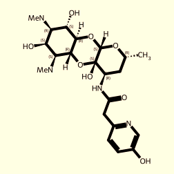 CN[C@@H]1[C@H](O)[C@H](NC)[C@H]2O[C@]3(O)[C@H](O[C@@H]2[C@H]1O)O[C@H](C)C[C@H]3NC(=O)Cc1ccc(O)cn1